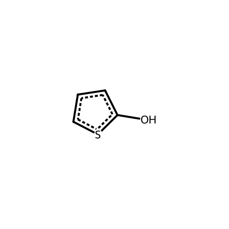 Oc1cccs1